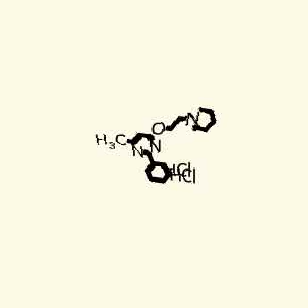 Cc1cc(OCCN2CCCCC2)nc(-c2ccccc2)n1.Cl.Cl